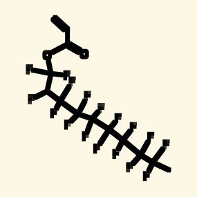 C=CC(=O)OC(F)(F)C(F)C(F)(F)C(F)(F)C(F)(F)C(F)(F)C(F)(F)C(F)(F)C(C)(F)F